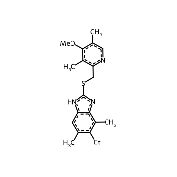 CCc1c(C)cc2[nH]c(SCc3ncc(C)c(OC)c3C)nc2c1C